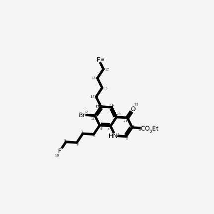 CCOC(=O)c1c[nH]c2c(CCCCF)c(Br)c(CCCCF)cc2c1=O